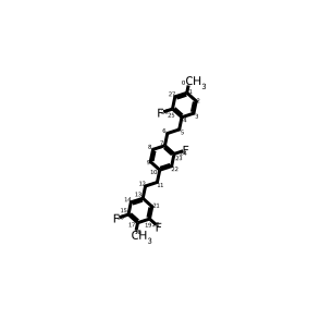 Cc1ccc(CCc2ccc(CCc3cc(F)c(C)c(F)c3)cc2F)c(F)c1